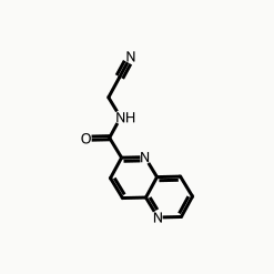 N#CCNC(=O)c1ccc2ncccc2n1